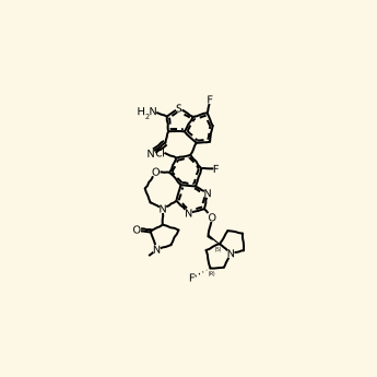 CN1CCC(N2CCOc3c(Cl)c(-c4ccc(F)c5sc(N)c(C#N)c45)c(F)c4nc(OC[C@@]56CCCN5C[C@H](F)C6)nc2c34)C1=O